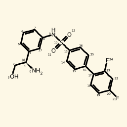 N[C@@H](CO)c1cccc(NS(=O)(=O)c2ccc(-c3ccc(F)cc3F)cc2)c1